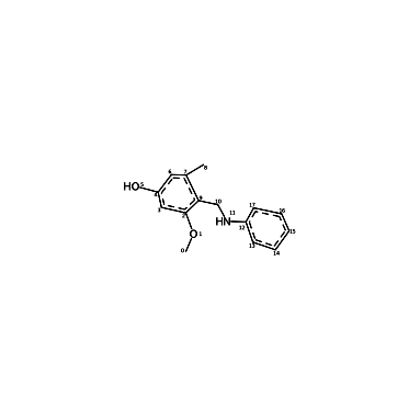 COc1cc(O)cc(C)c1CNc1ccccc1